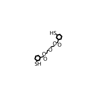 O=C(OCCOCCOC(=O)c1cccc(S)c1)c1cccc(S)c1